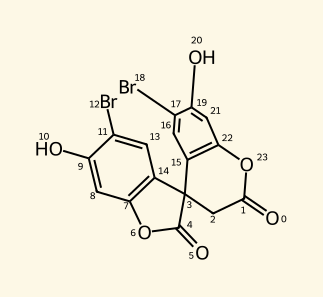 O=C1CC2(C(=O)Oc3cc(O)c(Br)cc32)c2cc(Br)c(O)cc2O1